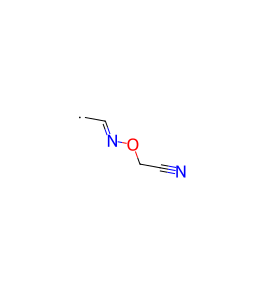 [CH2]C=NOCC#N